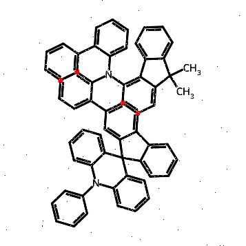 CC1(C)c2ccccc2-c2c(N(c3ccccc3-c3ccccc3)c3ccccc3-c3ccc4c(c3)C3(c5ccccc5-4)c4ccccc4N(c4ccccc4)c4ccccc43)cccc21